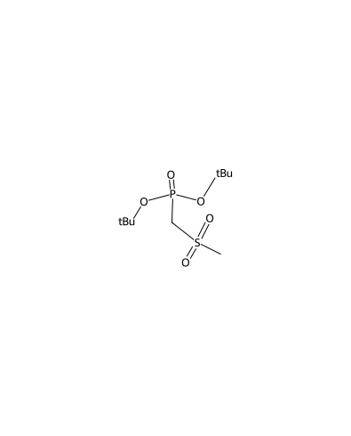 CC(C)(C)OP(=O)(CS(C)(=O)=O)OC(C)(C)C